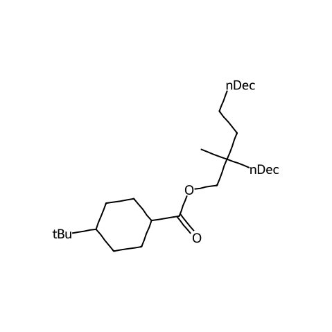 CCCCCCCCCCCCC(C)(CCCCCCCCCC)COC(=O)C1CCC(C(C)(C)C)CC1